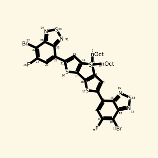 CCCCCCCC[Si]1(CCCCCCCC)c2cc(-c3cc(F)c(Br)c4nsnc34)sc2-c2sc(-c3cc(F)c(Br)c4nsnc34)cc21